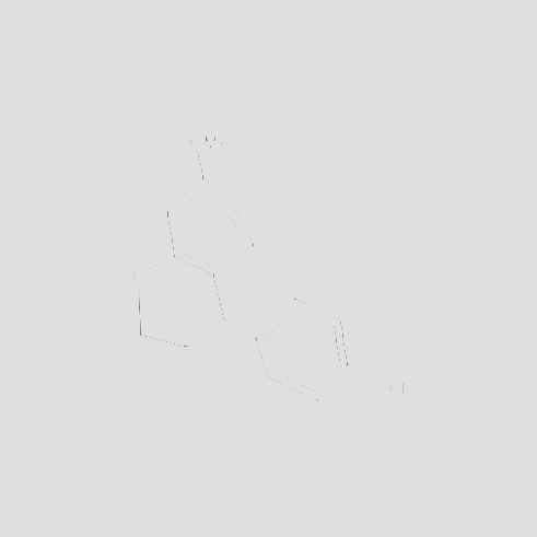 COc1ccc2c(c1)OCCC2c1ccc(O)cc1